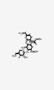 C[C@H]1/C(=C\O)CO[C@H](O[C@H]2[C@H](NO)C[C@H](NC(=O)OC(C)(C)C)C(O[C@H]3OC(CN)=CC[C@H]3N)[C@@H]2O)[C@@H]1O